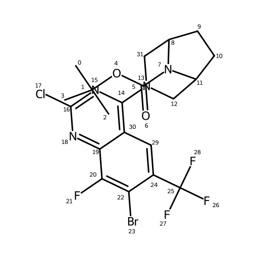 CC(C)(C)OC(=O)N1C2CCC1CN(c1nc(Cl)nc3c(F)c(Br)c(C(F)(F)F)cc13)C2